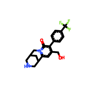 O=c1c(-c2ccc(C(F)(F)F)cc2)c(CO)cc2n1CC1CNCC2C1